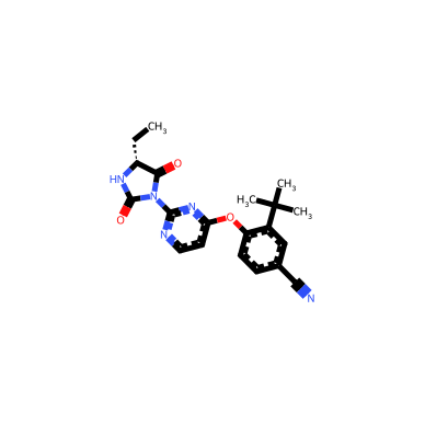 CC[C@H]1NC(=O)N(c2nccc(Oc3ccc(C#N)cc3C(C)(C)C)n2)C1=O